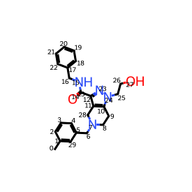 Cc1cccc(CN2CCc3c(c(C(=O)NCc4ccccc4)nn3CCO)C2)c1